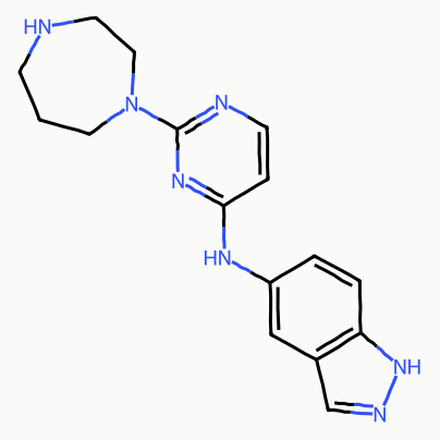 c1cc(Nc2ccc3[nH]ncc3c2)nc(N2CCCNCC2)n1